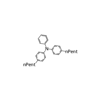 CCCCCc1ccc(N(C2=C=C=CC=C2)c2ccc(CCCCC)cc2)cc1